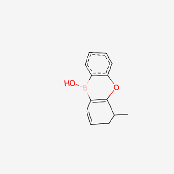 CC1CC=CC2=C1Oc1ccccc1B2O